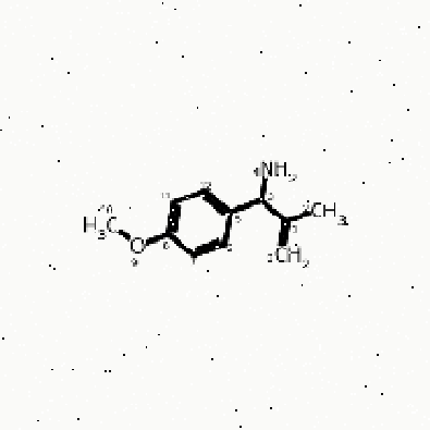 C=C(C)C(N)c1ccc(OC)cc1